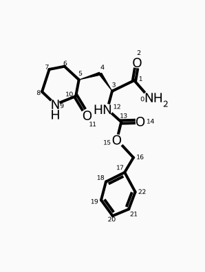 NC(=O)[C@H](C[C@@H]1CCCNC1=O)NC(=O)OCc1ccccc1